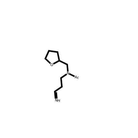 CC(=O)N(CCC=N)CC1CCCO1